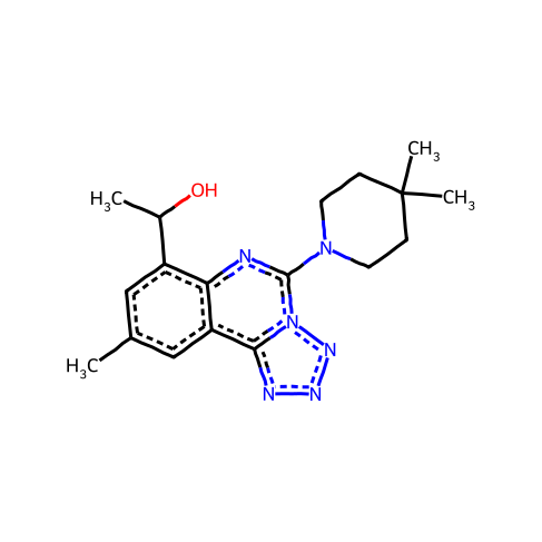 Cc1cc(C(C)O)c2nc(N3CCC(C)(C)CC3)n3nnnc3c2c1